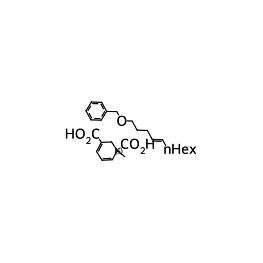 CCCCCCC=CCCCOCc1ccccc1.C[C@@]1(C(=O)O)C=CC=C(C(=O)O)C1